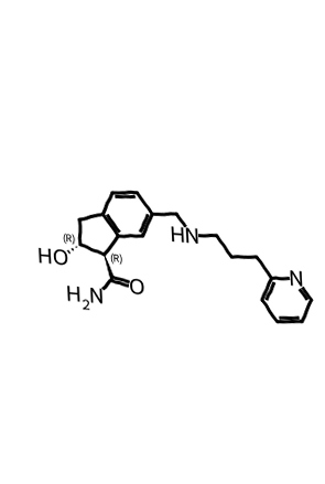 NC(=O)[C@@H]1c2cc(CNCCCc3ccccn3)ccc2C[C@H]1O